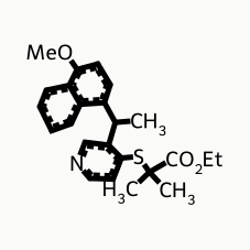 CCOC(=O)C(C)(C)Sc1ccncc1C(C)c1ccc(OC)c2ccccc12